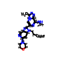 COCCn1c(-c2cn3c(C)nnc3c(NC(C)C)n2)nc2cnc(N3CCOCC3)cc21